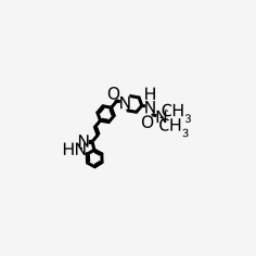 CN(C)C(=O)NC1CCN(C(=O)c2ccc(/C=C/c3n[nH]c4ccccc34)cc2)CC1